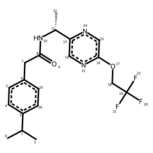 CC(C)c1ccc(CC(=O)N[C@H](C)c2cnc(OCC(F)(F)F)cn2)cc1